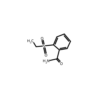 CCS(=O)(=O)c1ccccc1C(N)=O